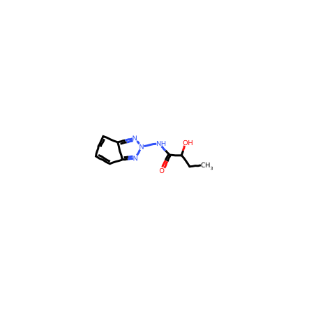 CCC(O)C(=O)Nn1nc2ccccc2n1